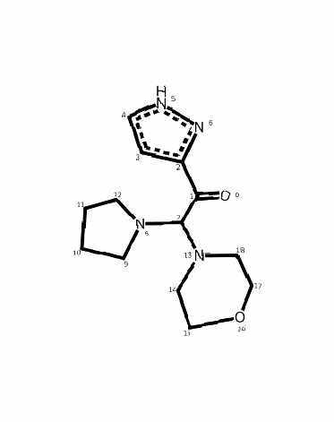 O=C(c1cc[nH]n1)C(N1CCCC1)N1CCOCC1